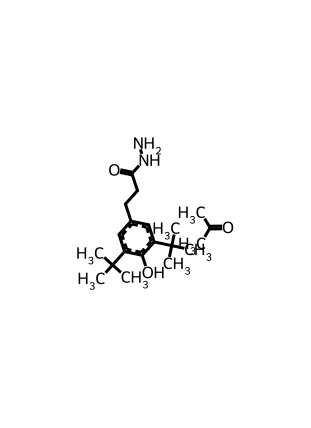 CC(C)(C)c1cc(CCC(=O)NN)cc(C(C)(C)C)c1O.CC(C)=O